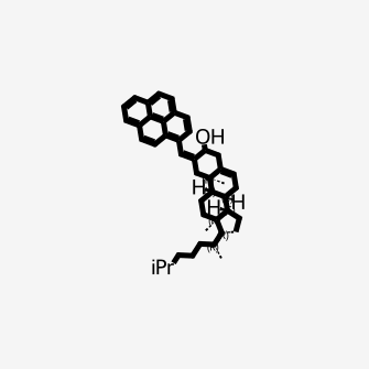 CC(C)CCC[C@@H](C)[C@H]1CC[C@H]2[C@@H]3CC=C4CC(O)C(=Cc5ccc6ccc7cccc8ccc5c6c78)C[C@]4(C)[C@H]3CC[C@]12C